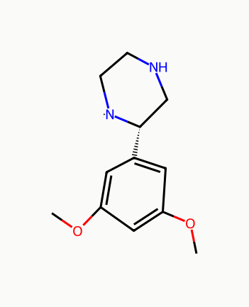 COc1cc(OC)cc([C@H]2CNCC[N]2)c1